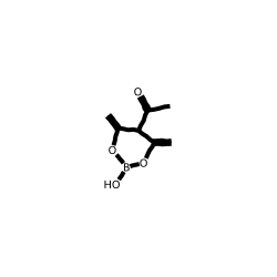 C=C1OB(O)OC(=C)C1C(C)=O